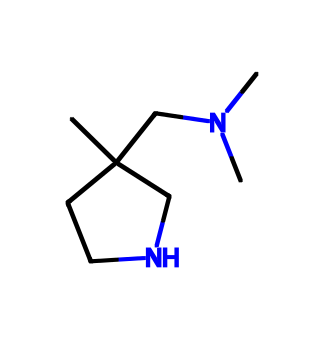 CN(C)CC1(C)CCNC1